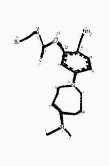 CN(C)C1CCN(c2ccc(N)c(OC(=O)NC(C)(C)C)c2)CC1